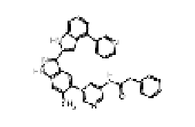 Cc1cc2[nH]nc(-c3cc4c(-c5cccnc5)cccc4[nH]3)c2cc1-c1cncc(NC(=O)Cc2ccccc2)c1